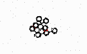 c1ccc(-c2nccc(-c3ccc(-c4ccccn4)cc3)c2N2c3ccccc3C(c3ccccc3)(c3ccccc3)c3ccccc32)cc1